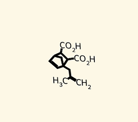 C=C(C)CC12C=CC(C1)C(C(=O)O)C2C(=O)O